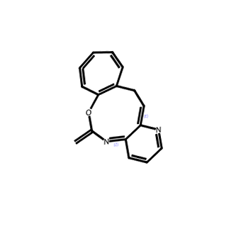 C=C1/N=c2/cccn/c2=C/CC2=C(C=C=CC=C2)O1